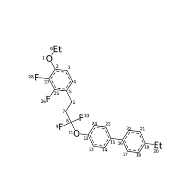 CCOc1ccc(CCC(F)(F)Oc2ccc(-c3ccc(CC)cc3)cc2)c(F)c1F